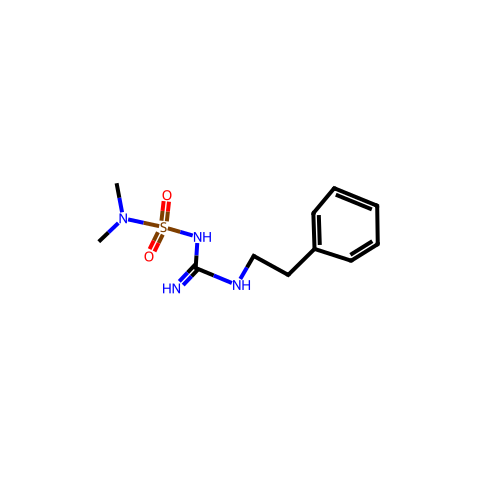 CN(C)S(=O)(=O)NC(=N)NCCc1ccccc1